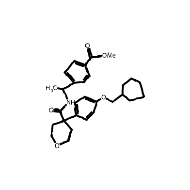 COC(=O)c1ccc(C(C)NC(=O)C2(c3ccc(OCC4CCCCC4)cc3)CCOCC2)cc1